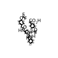 O=C(Cc1ccc(OC(F)F)cc1)Nc1cnn(-c2nc3ccccc3[nH]2)c1.O=C(O)Cc1ccc(OC(F)F)cc1